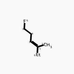 CCC(C)=CC[CH]F